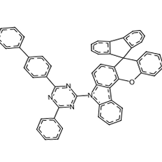 c1ccc(-c2ccc(-c3nc(-c4ccccc4)nc(-n4c5ccccc5c5c6c(ccc54)C4(c5ccccc5O6)c5ccccc5-c5ccccc54)n3)cc2)cc1